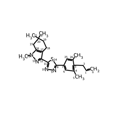 C=CCc1c(C)cc(-c2nnc(-c3nn(C)c4c3CCC(C)(C)C4)s2)cc1C